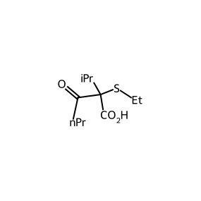 CCCC(=O)C(SCC)(C(=O)O)C(C)C